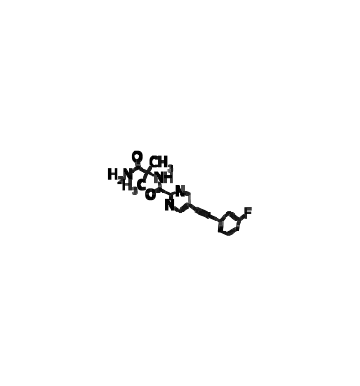 CC(C)(NC(=O)c1ncc(C#Cc2cccc(F)c2)cn1)C(N)=O